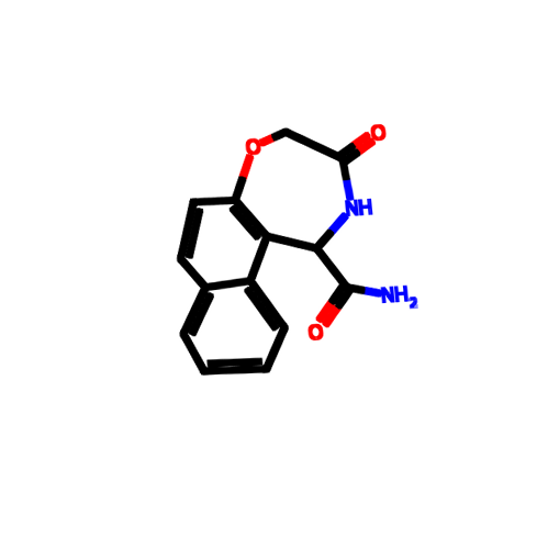 NC(=O)C1NC(=O)COc2ccc3ccccc3c21